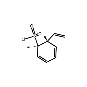 C=C[C@]1(C)C=CC=C[C@@]1(C)S(=O)(=O)Cl